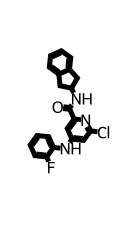 O=C(NC1Cc2ccccc2C1)c1cc(Nc2ccccc2F)cc(Cl)n1